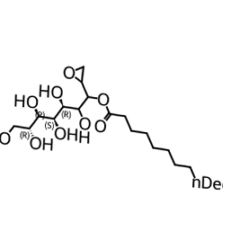 CCCCCCCCCCCCCCCCCC(=O)OC(C1CO1)C(O)[C@H](O)[C@@H](O)[C@H](O)[C@H](O)CO